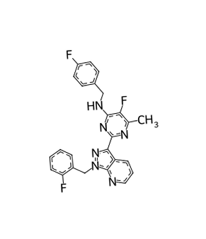 Cc1nc(-c2nn(Cc3ccccc3F)c3ncccc23)nc(NCc2ccc(F)cc2)c1F